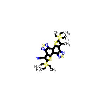 CCS(CC)(CC)c1sc2c(c1C)c1nsnc1c1c3sc(S(CC)(CC)CC)c(C#N)c3c3nsnc3c21